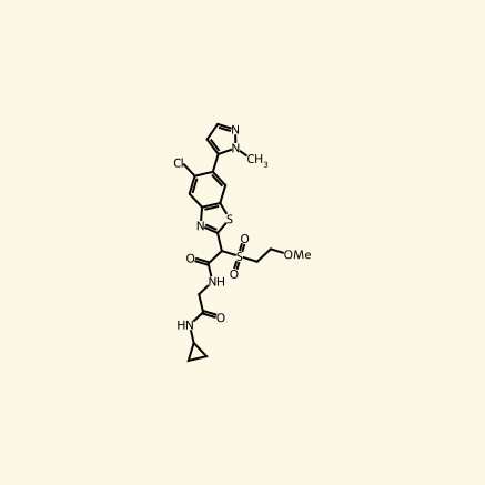 COCCS(=O)(=O)C(C(=O)NCC(=O)NC1CC1)c1nc2cc(Cl)c(-c3ccnn3C)cc2s1